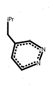 CC(C)Cc1[c]nncc1